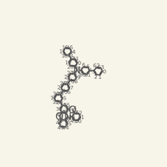 c1ccc(-c2ccc(N(c3ccc(-c4ccccc4)cc3)c3ccc(-c4ccc(-c5cccc(-c6cc7c8c(c6)Oc6ccccc6N8c6ccccc6O7)c5)cc4)cc3)cc2)cc1